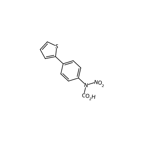 O=C(O)N(c1ccc(-c2cccs2)cc1)[N+](=O)[O-]